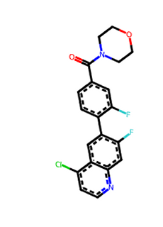 O=C(c1ccc(-c2cc3c(Cl)ccnc3cc2F)c(F)c1)N1CCOCC1